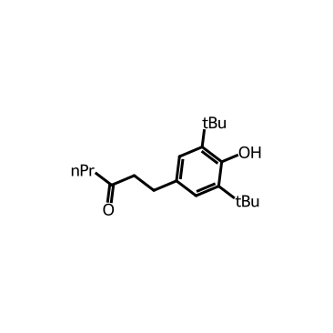 CCCC(=O)CCc1cc(C(C)(C)C)c(O)c(C(C)(C)C)c1